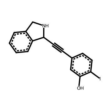 Oc1cc(C#CC2NCc3ccccc32)ccc1I